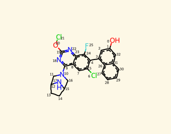 Oc1cc(-c2c(Cl)cc3c(N4CC5CCC(C4)N5)nc(OCl)nc3c2F)c2ccccc2c1